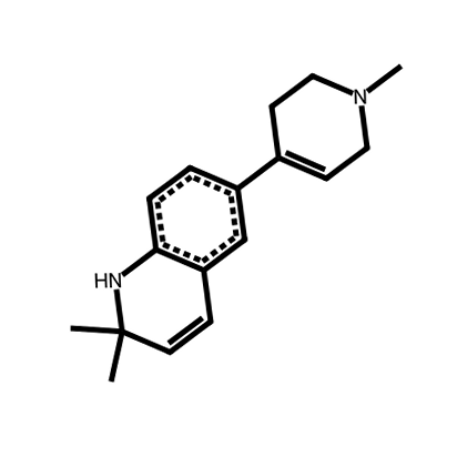 CN1CC=C(c2ccc3c(c2)C=CC(C)(C)N3)CC1